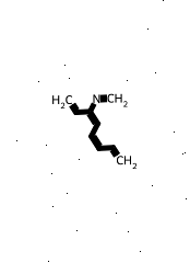 C=C/C=C\C=C(/C=C)N=C